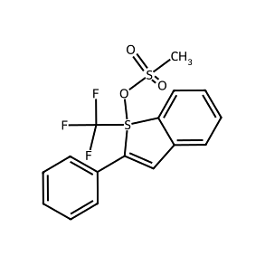 CS(=O)(=O)OS1(C(F)(F)F)C(c2ccccc2)=Cc2ccccc21